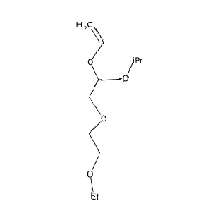 [CH2]COCCOCC(OC=C)OC(C)C